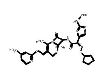 O=CNc1nc(/C(=N/OC2=CCCC2)C(=O)NC2C(=O)N3C(C(=O)O)=C(CSc4cc(C(=O)O)ccn4)CS[C@H]23)cs1